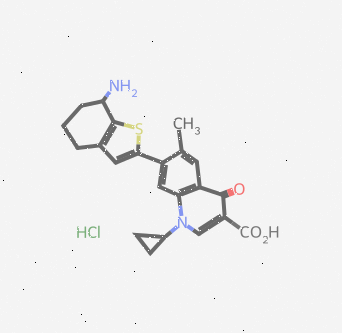 Cc1cc2c(=O)c(C(=O)O)cn(C3CC3)c2cc1-c1cc2c(s1)C(N)CCC2.Cl